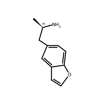 C[C@@H](N)Cc1ccc2occc2c1